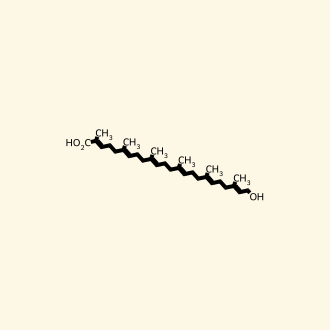 C/C(=C\CO)CC/C=C(\C)CC/C=C(\C)CC/C=C(\C)CC/C=C(\C)CC/C=C(\C)C(=O)O